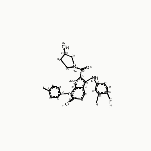 Cc1ccc(-n2c(=O)ccc3c(Nc4ccc(F)c(C)c4)c(C(=O)N4CC[C@@H](O)C4)sc32)cc1